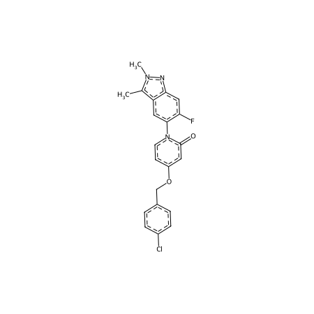 Cc1c2cc(-n3ccc(OCc4ccc(Cl)cc4)cc3=O)c(F)cc2nn1C